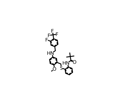 COc1ccc(NCc2ccc(C(F)(F)F)c(F)c2)cc1CSc1ccccc1NC(=O)C(C)(C)C